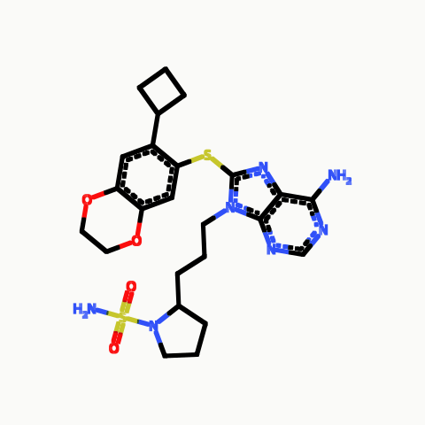 Nc1ncnc2c1nc(Sc1cc3c(cc1C1CCC1)OCCO3)n2CCCC1CCCN1S(N)(=O)=O